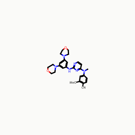 COc1cc(N(C)c2ccnc(Nc3cc(N4CCOCC4)cc(N4CCOCC4)c3)n2)ccc1C#N